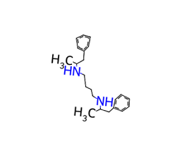 CC(Cc1ccccc1)NCCCCNC(C)Cc1ccccc1